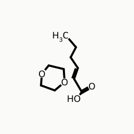 C1COCCO1.CCCC=CC(=O)O